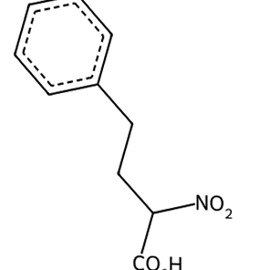 O=C(O)C(CCc1ccccc1)[N+](=O)[O-]